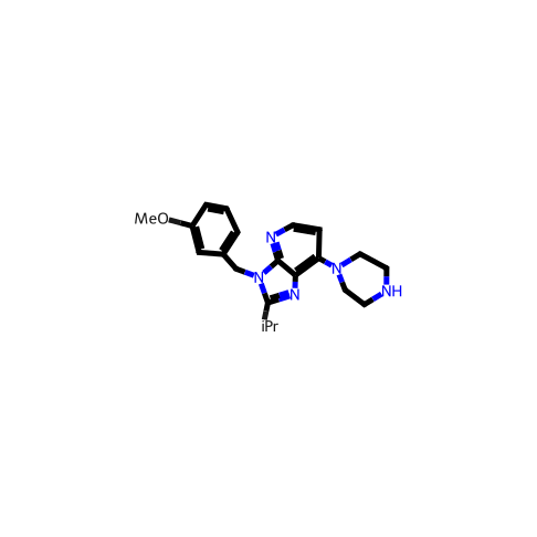 COc1cccc(Cn2c(C(C)C)nc3c(N4CCNCC4)ccnc32)c1